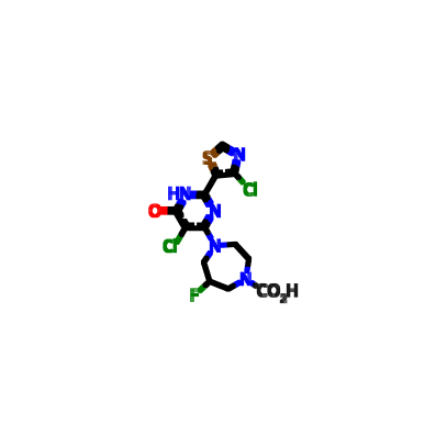 O=C(O)N1CCN(c2nc(-c3scnc3Cl)[nH]c(=O)c2Cl)CC(F)C1